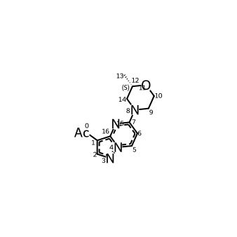 CC(=O)c1cnn2ccc(N3CCO[C@@H](C)C3)nc12